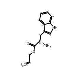 C=CCOC(=O)[C@@H](N)Cc1c[nH]c2ccccc12